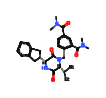 CCC(CC)[C@@H]1C(=O)N[C@H](C2Cc3ccccc3C2)C(=O)N1Cc1ccc(C(=O)N(C)C)cc1C(=O)N(C)C